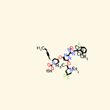 C=CC#CC[C@@H]1C[C@@H](Oc2cc(O[C@@H](C)[C@@H]3CC(F)(F)CN3C)nc(-c3noc(C(C)(C)c4c(C)cccc4F)n3)n2)CCN1C(=O)OC(C)(C)C